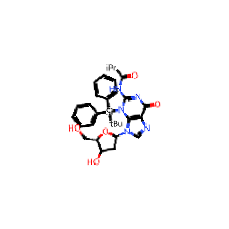 CC(C)C(=O)Nc1nc(=O)c2ncn([C@H]3CC(O)[C@@H](CO)O3)c2n1[Si](c1ccccc1)(c1ccccc1)C(C)(C)C